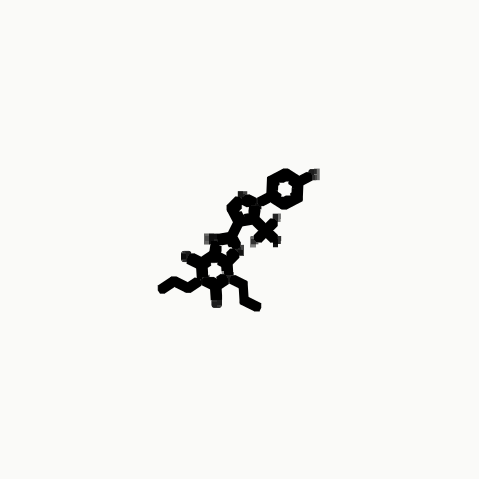 CCCn1c(=O)c2[nH]c(-c3cnn(-c4ccc(Cl)cc4)c3C(F)(F)F)nc2n(CCC)c1=O